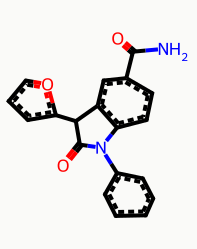 NC(=O)c1ccc2c(c1)C(c1ccco1)C(=O)N2c1ccccc1